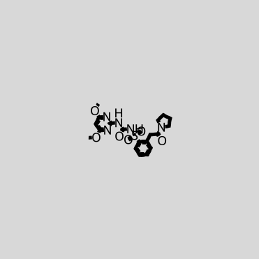 COc1cc(OC)nc(NC(=O)NS(=O)(=O)c2ccccc2CC(=O)N2CCCC2)n1